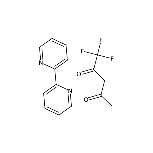 CC(=O)CC(=O)C(F)(F)F.c1ccc(-c2ccccn2)nc1